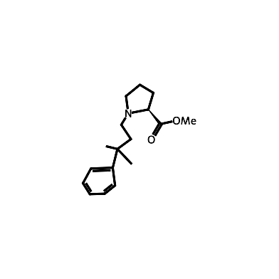 COC(=O)[C@@H]1CCCN1CCC(C)(C)c1ccccc1